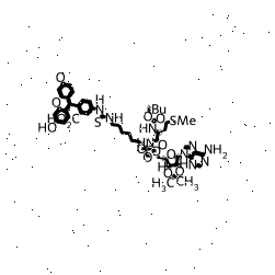 CSCC[C@H](NC(=O)OC(C)(C)C)C(=O)NP(=O)(OCCCCCCNC(=S)Nc1ccc(-c2c3ccc(=O)cc-3oc3cc(O)ccc23)c(C(=O)O)c1)OC[C@H]1O[C@@H](n2cnc3c(N)ncnc32)[C@@H]2OC(C)(C)O[C@@H]21